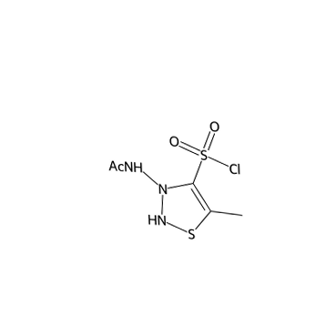 CC(=O)NN1NSC(C)=C1S(=O)(=O)Cl